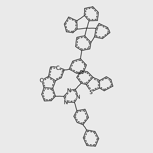 c1ccc(-c2ccc(-c3nc(-c4cccc5c4sc4ccccc45)nc(-c4cccc5oc6ccc(-c7cccc(-c8ccc9c(c8)-c8ccccc8C98c9ccccc9-c9ccccc98)c7)cc6c45)n3)cc2)cc1